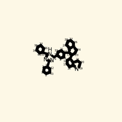 c1ccc(C2=NC(c3ccc(-c4c(-c5cccc6ncccc56)ccc5ccccc45)cc3)NC(c3ccccc3)=N2)cc1